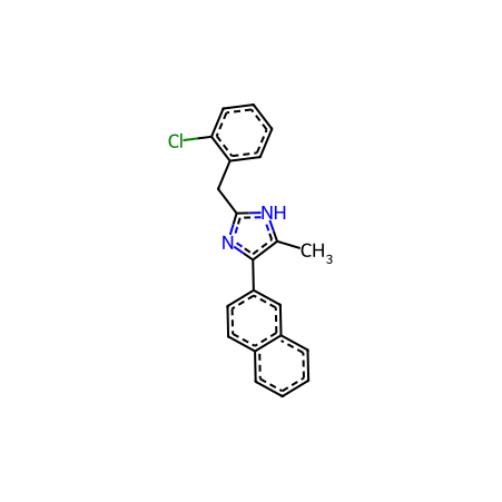 Cc1[nH]c(Cc2ccccc2Cl)nc1-c1ccc2ccccc2c1